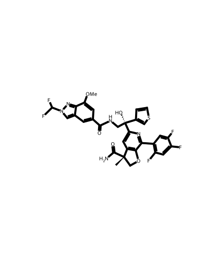 COc1cc(C(=O)NC[C@@](O)(c2ccsc2)c2cc3c(c(-c4cc(F)c(F)cc4F)n2)OC[C@]3(C)C(N)=O)cc2cn(C(F)F)nc12